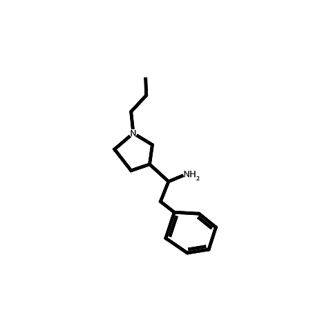 CCCN1CCC(C(N)Cc2ccccc2)C1